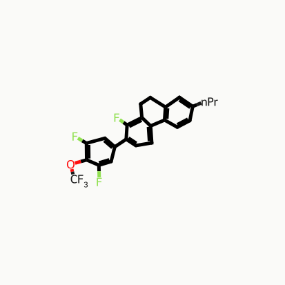 CCCc1ccc2c(c1)CCc1c-2ccc(-c2cc(F)c(OC(F)(F)F)c(F)c2)c1F